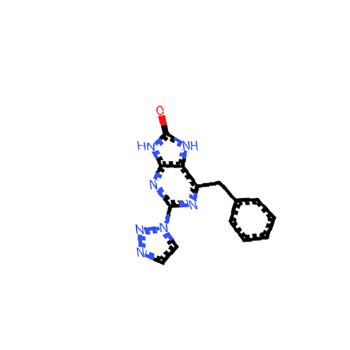 O=c1[nH]c2nc(-n3ccnn3)nc(Cc3ccccc3)c2[nH]1